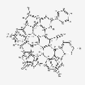 Cc1ccc2c(c1)c1cc(C)ccc1n2-c1c(C#N)c(-c2cccc(-c3ccccc3)n2)c(-n2c3ccc(C)cc3c3cc(C)ccc32)c(-n2c3ccc(C)cc3c3cc(C)ccc32)c1-n1c2ccc(C)cc2c2cc(C)ccc21